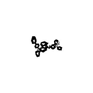 c1ccc(-c2ccc(-n3c4ccccc4c4ccc5c(c6ccccc6n5-c5ccc6c(c5)c5cccnc5n6-c5ccccc5)c43)cc2)cc1